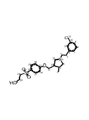 CC1CN(CCc2cccc(Cl)c2)CC1COc1ccc(S(=O)(=O)CCO)cc1